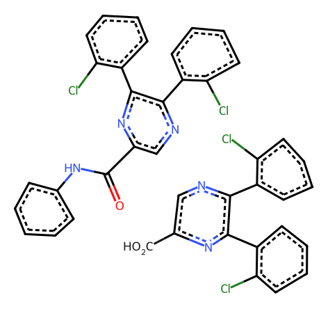 O=C(Nc1ccccc1)c1cnc(-c2ccccc2Cl)c(-c2ccccc2Cl)n1.O=C(O)c1cnc(-c2ccccc2Cl)c(-c2ccccc2Cl)n1